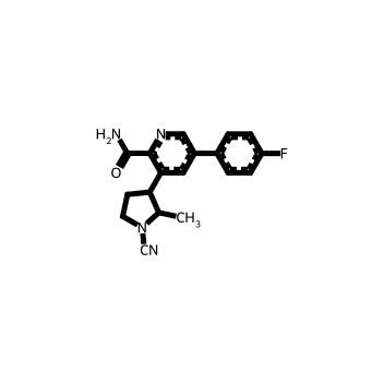 CC1C(c2cc(-c3ccc(F)cc3)cnc2C(N)=O)CCN1C#N